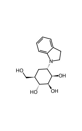 OC[C@H]1C[C@H](N2CCc3ccccc32)[C@@H](O)[C@@H](O)[C@@H]1O